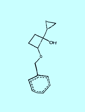 OC1(C2CC2)CCC1OCc1ccccc1